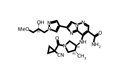 COC[C@H](O)Cn1cc(-c2cn3ncc(C(N)=O)c(N[C@@H]4CN(C(=O)C5(C#N)CC5)C[C@H]4C)c3n2)cn1